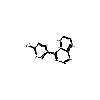 Clc1ccc(-c2cccc3cccnc23)cc1